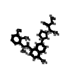 Cc1c(C#N)cccc1[C@@H](C)Nc1nnc(C)c2cnc(N3CC[C@H](N(C)C(=O)OC(C)(C)C)C3)cc12